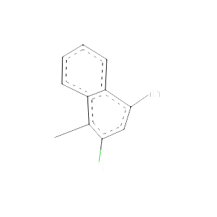 Cc1c(Cl)cc(C(C)C)c2ccccc12